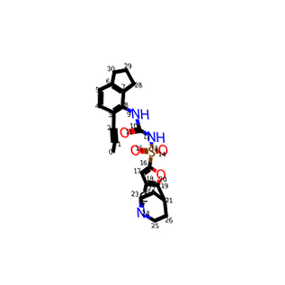 CC#Cc1ccc2c(c1NC(=O)NS(=O)(=O)c1cc3c(o1)C1CCN(CC1)C3)CCC2